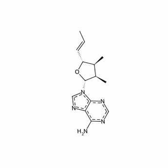 C/C=C/[C@H]1O[C@@H](n2cnc3c(N)ncnc32)[C@H](C)[C@@H]1C